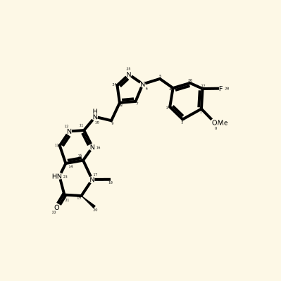 COc1ccc(Cn2cc(CNc3ncc4c(n3)N(C)[C@@H](C)C(=O)N4)cn2)cc1F